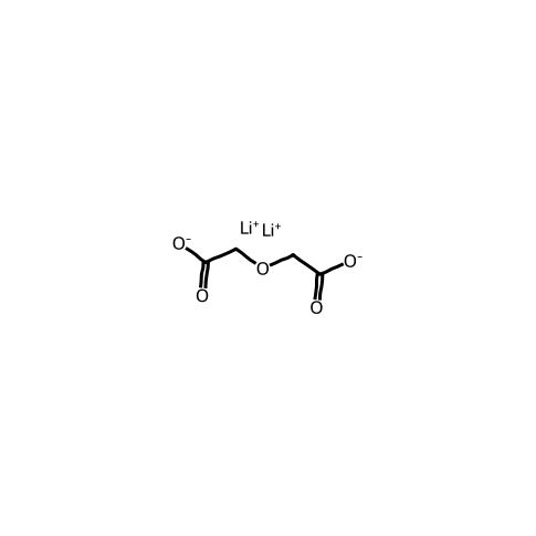 O=C([O-])COCC(=O)[O-].[Li+].[Li+]